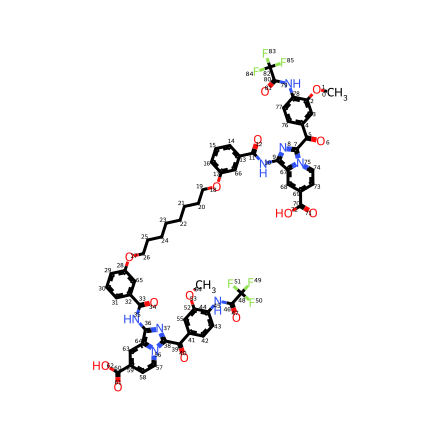 COc1cc(C(=O)c2nc(NC(=O)c3cccc(OCCCCCCCCOc4cccc(C(=O)Nc5nc(C(=O)c6ccc(NC(=O)C(F)(F)F)c(OC)c6)n6ccc(C(=O)O)cc56)c4)c3)c3cc(C(=O)O)ccn23)ccc1NC(=O)C(F)(F)F